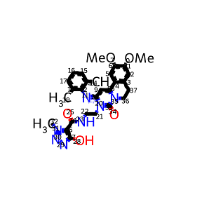 COc1cc2c(cc1OC)-c1c/c(=N\c3c(C)cccc3C)n(CCNC(=O)c3c(O)nnn3C)c(=O)n1CC2